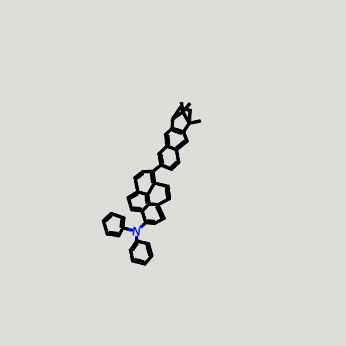 CC12CCC(c3cc4cc(-c5ccc6ccc7c(N(c8ccccc8)c8ccccc8)ccc8ccc5c6c87)ccc4cc31)C2(C)C